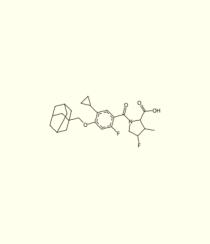 CC1C(F)CN(C(=O)c2cc(C3CC3)c(OCC34CC5CC(CC(C5)C3)C4)cc2F)C1C(=O)O